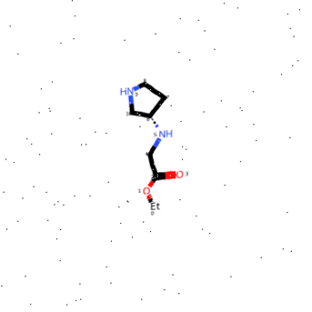 CCOC(=O)CN[C@H]1CCNC1